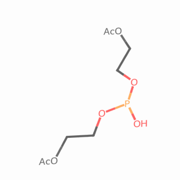 CC(=O)OCCOP(O)OCCOC(C)=O